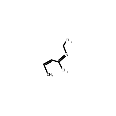 C/C=C\C(C)=N/CC